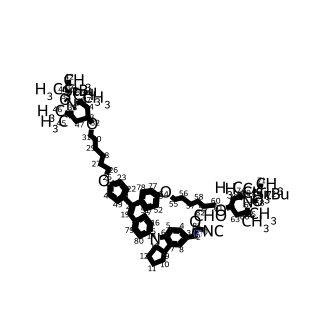 [C-]#[N+]/C(=C/c1ccc2c(c1)C1CCCC1N2c1ccc(C=C(c2ccc(OCCCCCCOC3CC(C)(C)N(O[Si](C)(C)C(C)(C)C)C(C)(C)C3)cc2)c2ccc(OCCCCCCOC3CC(C)(C)N(O[Si](C)(C)C(C)(C)C)C(C)(C)C3)cc2)cc1)OC=O